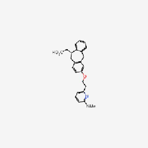 CNc1cccc(CCOc2ccc3c(c2)Cc2ccccc2[C@H](CC(=O)O)C3)n1